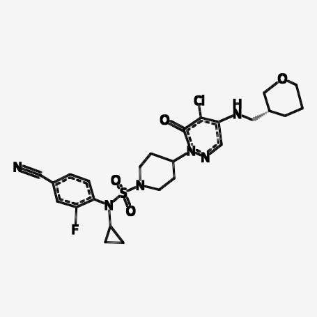 N#Cc1ccc(N(C2CC2)S(=O)(=O)N2CCC(n3ncc(NC[C@H]4CCCOC4)c(Cl)c3=O)CC2)c(F)c1